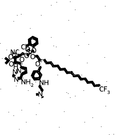 CN(C)CCNc1cccc(CO[C@@H](CCCCCCCCCCCCCCCCCC(F)(F)F)COP(=O)(OC[C@@]2(C#N)O[C@@H](c3ccc4c(N)ncnn34)[C@@H]3OC(C)(C)O[C@@H]32)Oc2ccccc2Cl)c1